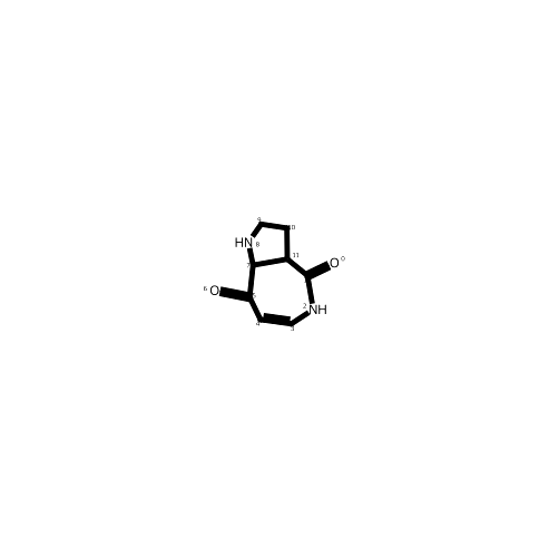 O=C1NC=CC(=O)C2NCCC12